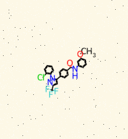 COc1cccc(NC(=O)c2ccc(-c3cc(C(F)(F)F)nn3-c3ccccc3Cl)cc2)c1